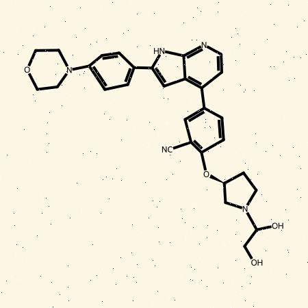 N#Cc1cc(-c2ccnc3[nH]c(-c4ccc(N5CCOCC5)cc4)cc23)ccc1O[C@H]1CCN(C(O)CO)C1